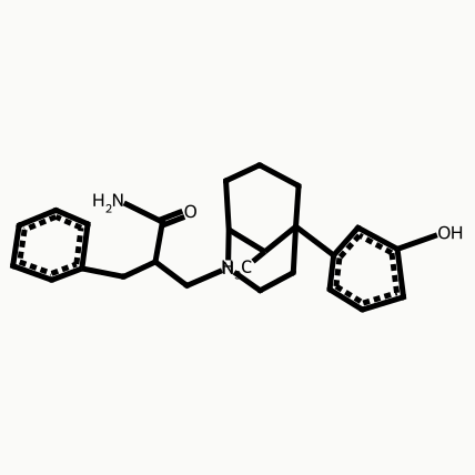 CC1C2CCCC1(c1cccc(O)c1)CCN2CC(Cc1ccccc1)C(N)=O